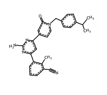 Cc1c(C#N)cccc1-c1cc(-c2ccn(Cc3ccc(C(C)C)cc3)c(=O)c2)nc(N)n1